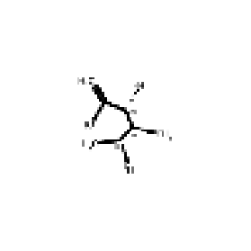 [2H][C@@H](C)[C@H](C)[C@@H]([2H])C(=C)O